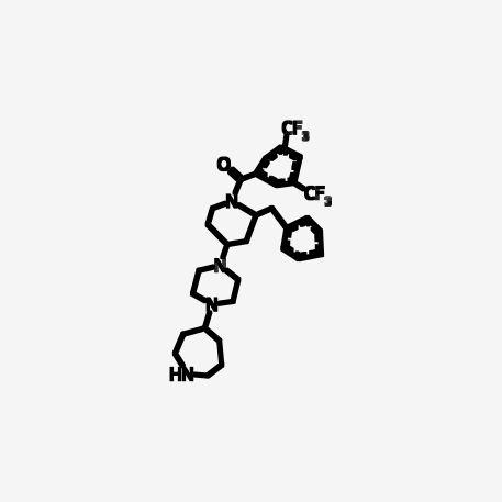 O=C(c1cc(C(F)(F)F)cc(C(F)(F)F)c1)N1CCC(N2CCN(C3CCCNCC3)CC2)CC1Cc1ccccc1